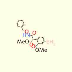 Bc1ccc(C(C(=O)NOCc2ccccc2)C(=O)OC)c(C(=O)OC)c1